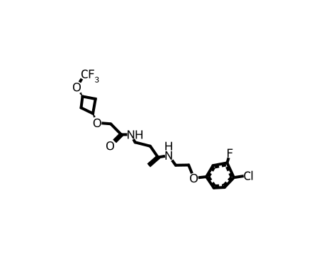 C=C(CCNC(=O)CO[C@H]1C[C@@H](OC(F)(F)F)C1)NCCOc1ccc(Cl)c(F)c1